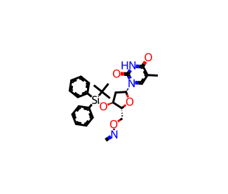 C=NOC[C@H]1O[C@@H](n2cc(C)c(=O)[nH]c2=O)C[C@@H]1O[Si](c1ccccc1)(c1ccccc1)C(C)(C)C